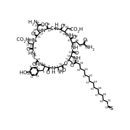 CC(C)C1NC(=O)C(Cc2ccc(O)cc2)NC(=O)CNC(=O)C(CC(=O)O)NC(=O)C(CC(N)=O)NC(=O)CNC(=O)C(CC(=O)O)NC(=O)C(CCC(N)=O)NC(=O)C(NC(=O)CCCCCCCCCCCCCI=S)C(C)OC1=O